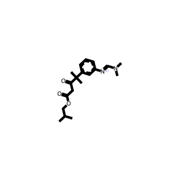 CC(C)COC(=O)CC(=O)C(C)(C)c1cccc(/N=C/N(C)C)c1